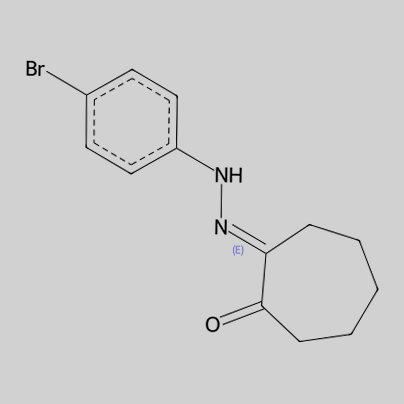 O=C1CCCCC/C1=N\Nc1ccc(Br)cc1